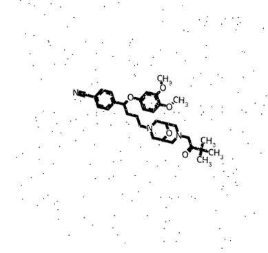 COc1ccc(OC(CCCN2CC3CN(CC(=O)C(C)(C)C)CC(C2)O3)c2ccc(C#N)cc2)cc1OC